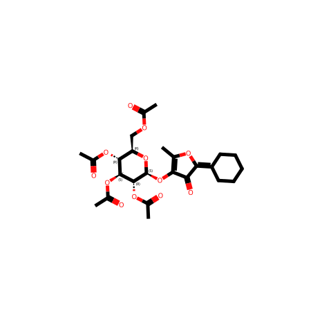 CC(=O)OC[C@H]1O[C@@H](OC2=C(C)OC(=C3CCCCC3)C2=O)[C@H](OC(C)=O)[C@@H](OC(C)=O)[C@@H]1OC(C)=O